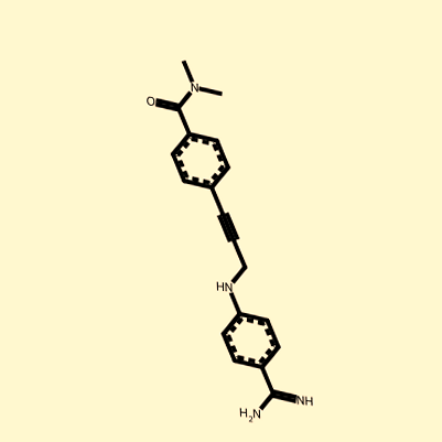 CN(C)C(=O)c1ccc(C#CCNc2ccc(C(=N)N)cc2)cc1